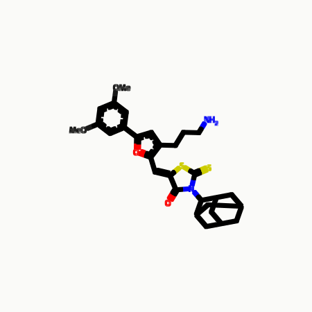 COc1cc(OC)cc(-c2cc(CCCN)c(/C=C3\SC(=S)N(C4C5CC6CC(C5)CC4C6)C3=O)o2)c1